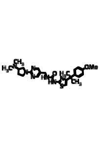 COc1ccc(C(C)(C)c2csc(NC(=O)NCc3cnc(N4CCC(N(C)C)C4)nc3)n2)cc1